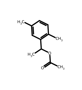 CC(=O)OC(C)c1cc(C)ccc1C